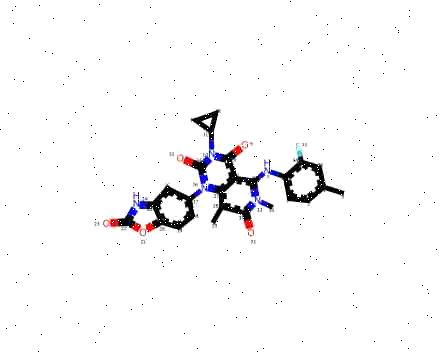 Cc1ccc(Nc2c3c(=O)n(C4CC4)c(=O)n(-c4ccc5oc(=O)[nH]c5c4)c3c(C)c(=O)n2C)c(F)c1